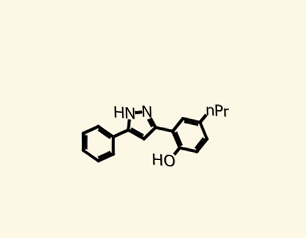 CCCc1ccc(O)c(-c2cc(-c3ccccc3)[nH]n2)c1